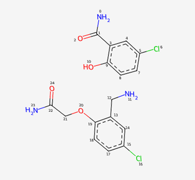 NC(=O)c1cc(Cl)ccc1O.NCc1cc(Cl)ccc1OCC(N)=O